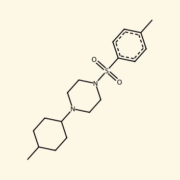 Cc1ccc(S(=O)(=O)N2CCN(C3CCC(C)CC3)CC2)cc1